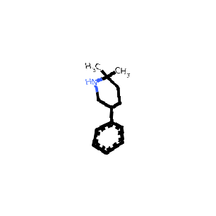 CC1(C)CCC(c2ccccc2)CN1